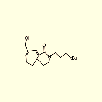 CC(C)(C)CCCN1CCC2CCC=C(CO)C=C2C1=O